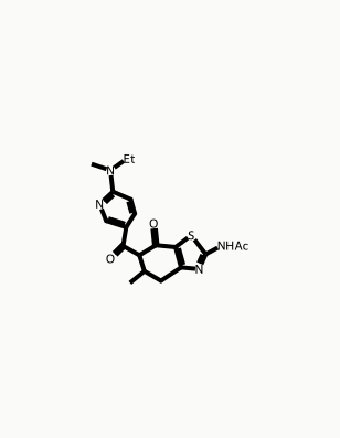 CCN(C)c1ccc(C(=O)C2C(=O)c3sc(NC(C)=O)nc3CC2C)cn1